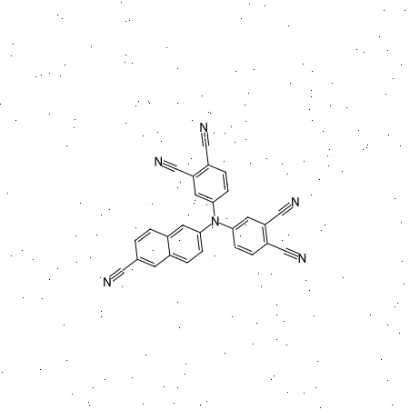 N#Cc1ccc2cc(N(c3ccc(C#N)c(C#N)c3)c3ccc(C#N)c(C#N)c3)ccc2c1